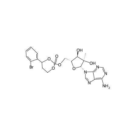 C[C@@]1(O)[C@H](O)[C@@H](COP2(=O)OCCC(c3ccccc3Br)O2)O[C@H]1n1cnc2c(N)ncnc21